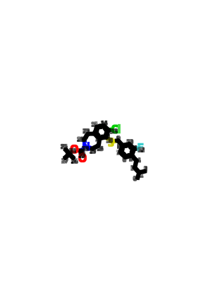 CC(C)CCc1ccc(CSc2c(Cl)ccc3c2CCN(C(=O)OC(C)(C)C)CC3)cc1F